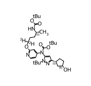 [2H]C([2H])(CC[C@H](C)NC(=O)OC(C)(C)C)Oc1cc(N(C(=O)OC(C)(C)C)c2cc([C@H]3CC[C@@H](O)C3)nn2C(C)(C)C)ccn1